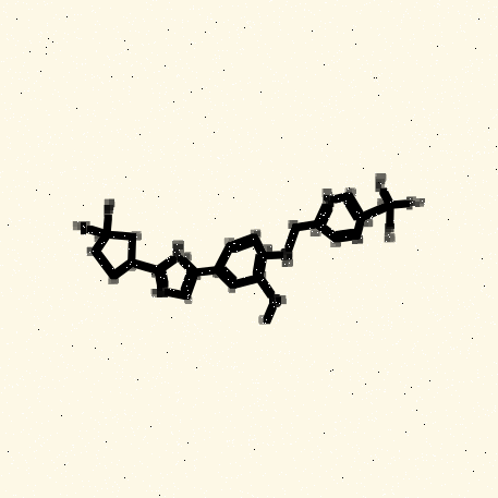 COc1cc(-c2cnc(C3CCC(F)(F)C3)[nH]2)ccc1OCc1ccc(C(F)(F)F)cn1